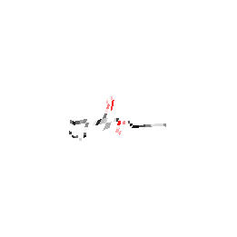 CCCCOCCC(=O)c1ccccc1